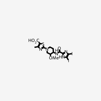 COC1CN(c2nc(C)c(C(=O)O)s2)CCC1NC(=O)c1nc(I)c(I)[nH]1